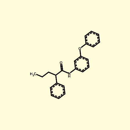 CCCC(C(=O)Nc1cccc(Oc2ccccc2)c1)c1ccccc1